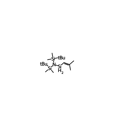 CC(C)=C[SiH2]N([Si](C)(C)C(C)(C)C)[Si](C)(C)C(C)(C)C